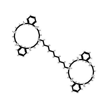 c1ccc2c(c1)OCCOCCOc1ccccc1OCCN(CCCCCCCCCCN1CCOc3ccccc3OCCOCCOc3ccccc3OCC1)CCO2